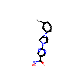 O=C(NO)c1cnc(N2CC3CC2CN3c2cccc(C(F)(F)F)c2)nc1